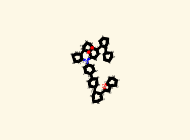 c1ccc(-c2ccccc2-c2ccc(N(c3ccc(-c4ccc(-c5ccccc5-c5cc6ccccc6o5)cc4)cc3)c3ccccc3-c3ccccc3)cc2)cc1